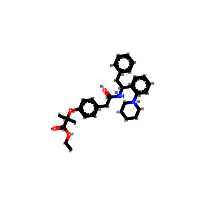 CCOC(=O)C(C)(C)Oc1ccc(CC(=O)NC(Cc2ccccc2)c2ccccc2N2CCCCC2)cc1